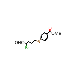 COC(=O)c1ccc(SCCCC(Br)C=O)cc1